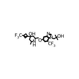 CC1CC(O)(C23CC(C(F)(F)F)(C2)C3)CC(COc2cc(C(F)(F)F)c3c(c2)ncn3CC(C)(C)O)N1